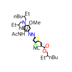 CCCCC(CC)COC(=O)/C(C#N)=C/c1sc(/N=N/c2cc(OC)c(N(CC(CC)CCCC)CC(CC)CCCC)cc2NC(C)=O)cc1Cl